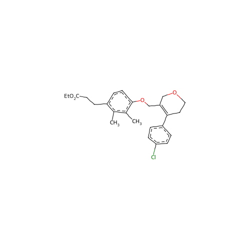 CCOC(=O)CCc1ccc(OCC2=C(c3ccc(Cl)cc3)CCOC2)c(C)c1C